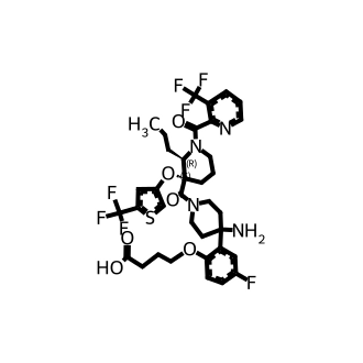 CCC[C@H]1N(C(=O)c2ncccc2C(F)(F)F)CCC[C@@]1(Oc1csc(C(F)(F)F)c1)C(=O)N1CCC(N)(c2cc(F)ccc2OCCCC(=O)O)CC1